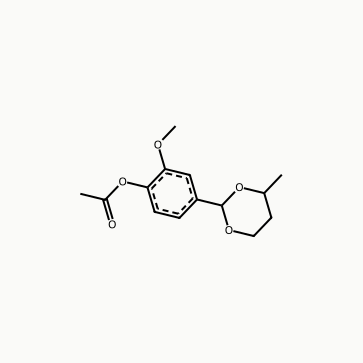 COc1cc(C2OCCC(C)O2)ccc1OC(C)=O